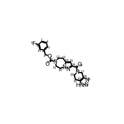 O=C(OCc1cccc(F)c1)N1CCc2cc(C(=O)N3CCc4[nH]nnc4C3)nn2CC1